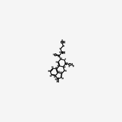 CN1CC(C(=O)NCCO)C=C2c3cccc4[nH]cc(c34)CC21